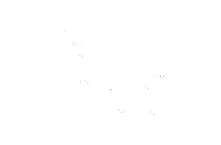 COc1ccc2nccc(C[C@H](N)[C@@H]3CC[C@@H](NCc4ccc5c(n4)NC(=O)CO5)CO3)c2n1